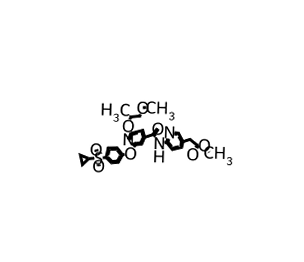 COC[C@@H](C)Oc1cc(C(=O)Nc2ccc(CC(=O)OC)cn2)cc(Oc2ccc(S(=O)(=O)C3CC3)cc2)n1